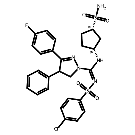 NS(=O)(=O)[C@H]1CC[C@@H](NC(=NS(=O)(=O)c2ccc(Cl)cc2)N2CC(c3ccccc3)C(c3ccc(F)cc3)=N2)C1